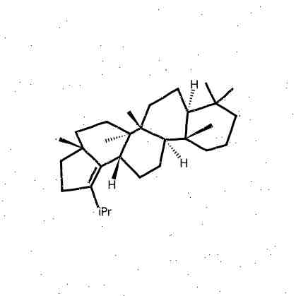 [CH2][C@]12CCC(C(C)C)=C1[C@H]1CC[C@@H]3[C@@]4(C)CC[CH]C(C)(C)[C@@H]4CC[C@@]3(C)[C@]1(C)CC2